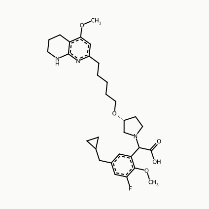 COc1cc(CCCCCO[C@@H]2CCN(C(C(=O)O)c3cc(CC4CC4)cc(F)c3OC)C2)nc2c1CCCN2